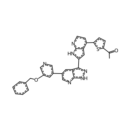 CC(=O)c1ccc(-c2ccnc3[nH]c(-c4n[nH]c5ncc(-c6cncc(OCc7ccccc7)c6)cc45)cc23)s1